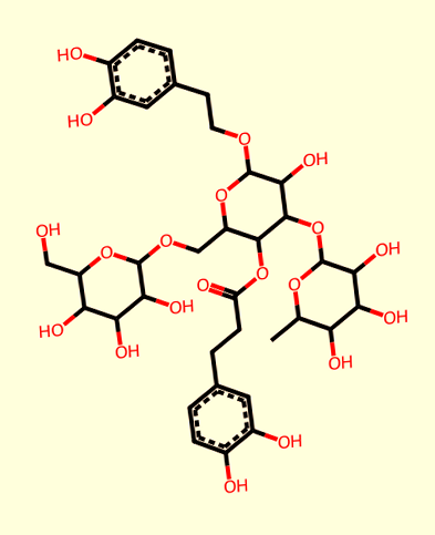 CC1OC(OC2C(O)C(OCCc3ccc(O)c(O)c3)OC(COC3OC(CO)C(O)C(O)C3O)C2OC(=O)CCc2ccc(O)c(O)c2)C(O)C(O)C1O